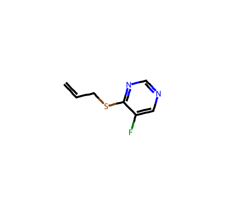 C=CCSc1ncncc1F